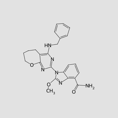 COc1nc2c(C(N)=O)cccc2n1-c1nc(NCc2ccccc2)c2c(n1)OCCCC2